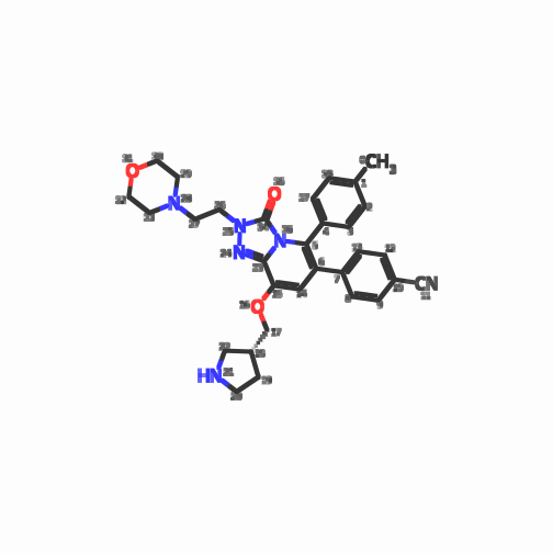 Cc1ccc(-c2c(-c3ccc(C#N)cc3)cc(OC[C@@H]3CCNC3)c3nn(CCN4CCOCC4)c(=O)n23)cc1